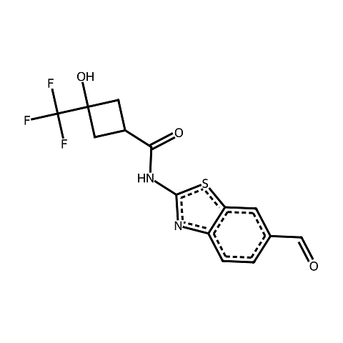 O=Cc1ccc2nc(NC(=O)C3CC(O)(C(F)(F)F)C3)sc2c1